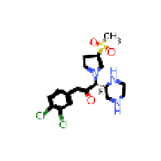 CS(=O)(=O)C1CCN(C(C(=O)Cc2ccc(Cl)c(Cl)c2)[C@H]2CNCCN2)C1